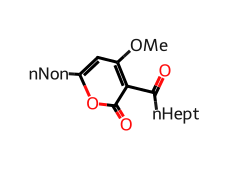 CCCCCCCCCc1cc(OC)c(C(=O)CCCCCCC)c(=O)o1